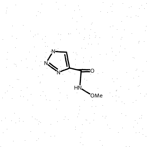 CONC(=O)C1=C[N]N=N1